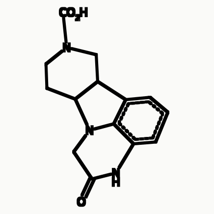 O=C1CN2c3c(cccc3C3CN(C(=O)O)CCC32)N1